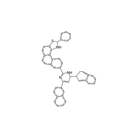 C1=C(c2ccc3ccccc3c2)N=C(c2ccc3c(ccc4ccc5c(c43)NC(c3ccccc3)S5)c2)NC1C1C=c2ccccc2=CC1